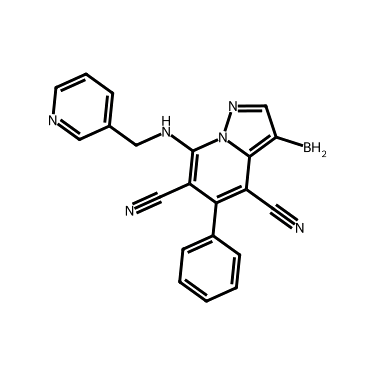 Bc1cnn2c(NCc3cccnc3)c(C#N)c(-c3ccccc3)c(C#N)c12